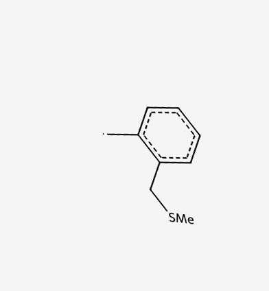 [CH2]c1ccccc1CSC